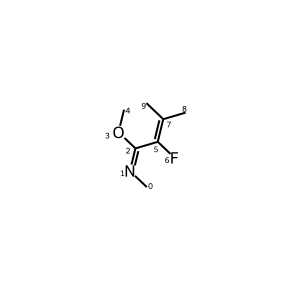 C/N=C(/OC)C(F)=C(C)C